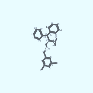 Cc1cc(C)cc(COC[C@@H](C(c2ccccc2)c2ccccc2)N(C)C)c1